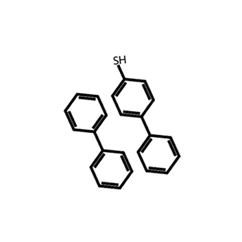 Sc1ccc(-c2ccccc2)cc1.c1ccc(-c2ccccc2)cc1